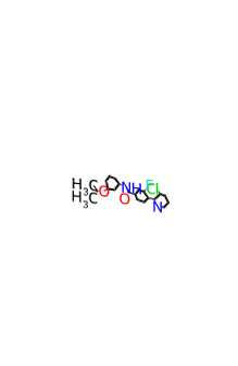 CC(C)Oc1cccc(NC(=O)c2ccc(-c3ncccc3Cl)c(F)c2)c1